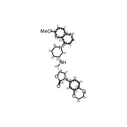 COc1ccc2nccc(N3CCC[C@@H](NC[C@@H]4CN(c5ccc6c(c5)OCCO6)C(=O)O4)C3)c2n1